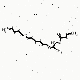 CCCCCCCCCCCCOC(C)NOC(=O)CCC